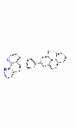 c1cnc2c(c1)cc(-c1ccc(-c3cc4ccc5cccc6ccc(c3)c4c56)cc1)c1cccnc12